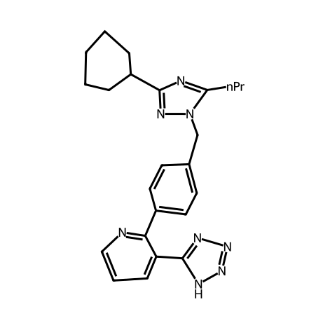 CCCc1nc(C2CCCCC2)nn1Cc1ccc(-c2ncccc2-c2nnn[nH]2)cc1